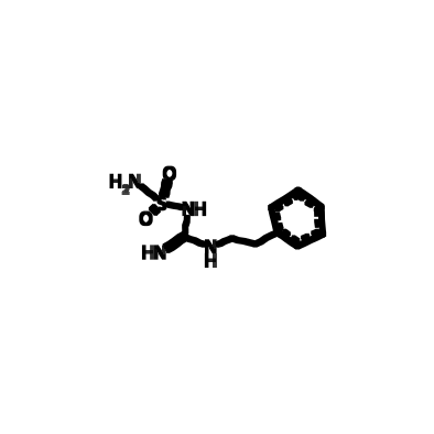 N=C(NCCc1ccccc1)NS(N)(=O)=O